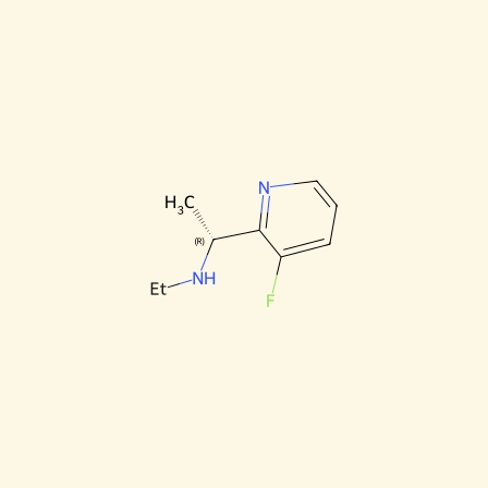 CCN[C@H](C)c1ncccc1F